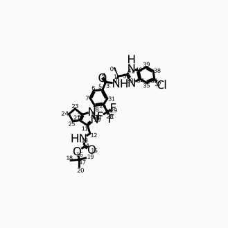 C[C@H](NC(=O)c1ccc(-n2nc(CNC(=O)OC(C)(C)C)c3c2CCC3)c(C(F)(F)F)c1)c1nc2cc(Cl)ccc2[nH]1